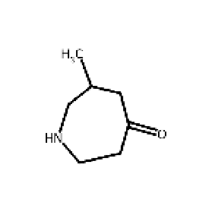 CC1CNCCC(=O)C1